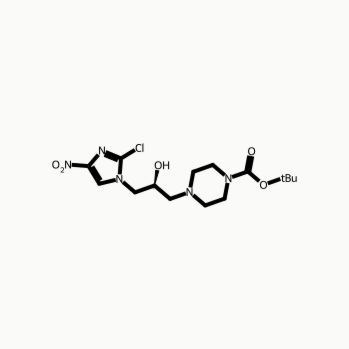 CC(C)(C)OC(=O)N1CCN(C[C@H](O)Cn2cc([N+](=O)[O-])nc2Cl)CC1